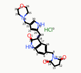 Cl.O=C1Nc2ccc(CN3C(=O)CCC3=O)cc2/C1=C/c1cc(CN2CCOCC2)c[nH]1